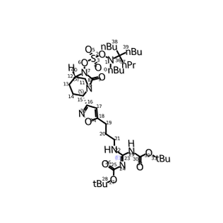 CCCCN(OS(=O)(=O)ON1C(=O)N2C[C@@H]1CC[C@H]2c1cc(CCCN/C(=N\C(=O)OC(C)(C)C)NC(=O)OC(C)(C)C)on1)C(CCC)(CCCC)CCCC